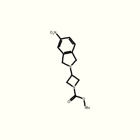 CC(C)(C)OC(=O)N1CC(N2Cc3ccc([N+](=O)[O-])cc3C2)C1